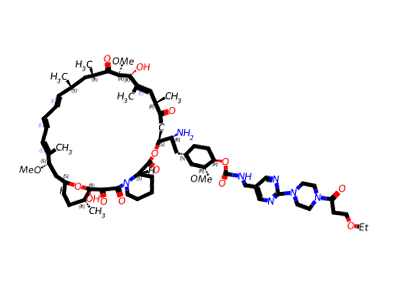 CCOCCC(=O)N1CCN(c2ncc(CNC(=O)O[C@@H]3CC[C@@H](C[C@@H](N)[C@@H]4CC(=O)[C@H](C)/C=C(\C)[C@@H](O)[C@@H](OC)C(=O)[C@H](C)C[C@H](C)/C=C/C=C/C=C(\C)[C@@H](OC)C[C@@H]5CC[C@@H](C)[C@@](O)(O5)C(=O)C(=O)N5CCCC[C@H]5C(=O)O4)C[C@H]3OC)cn2)CC1